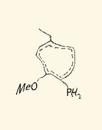 COc1cc(C)ccc1P